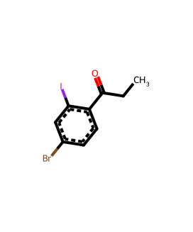 CCC(=O)c1ccc(Br)cc1I